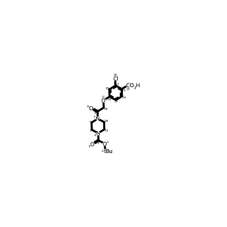 CC(C)(C)OC(=O)N1CCN(C(=O)COc2ccc(C(=O)O)c(Cl)c2)CC1